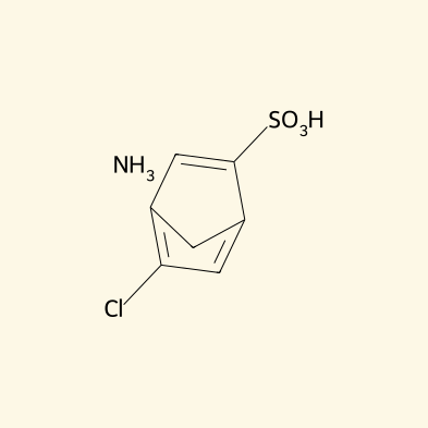 N.O=S(=O)(O)C1=CC2=C(Cl)C=C1C2